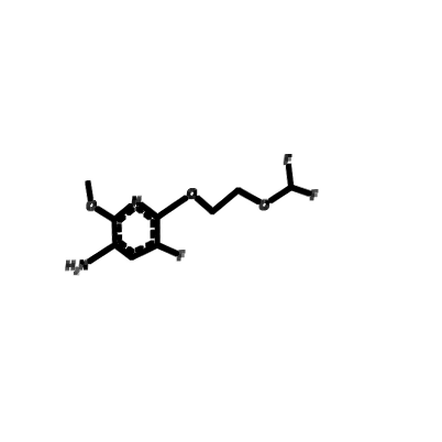 COc1nc(OCCOC(F)F)c(F)cc1N